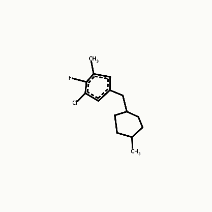 Cc1cc(CC2CCC(C)CC2)cc(Cl)c1F